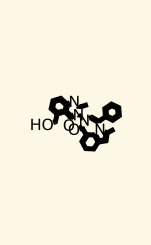 Cc1cc2c3n1C(c1ccccc1)=CN(n1c(C)nc4cccc(CO)c4c1=O)C(=O)C3=CCC2